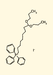 CCCOC(CCCCCCCC[P+](c1ccccc1)(c1ccccc1)c1ccccc1)OCCC.[I-]